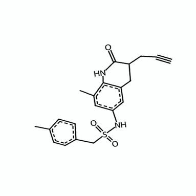 C#CCC1Cc2cc(NS(=O)(=O)Cc3ccc(C)cc3)cc(C)c2NC1=O